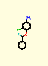 Nc1ccc(OC(F)c2ccccc2)c(Cl)c1